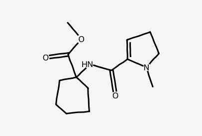 COC(=O)C1(NC(=O)C2=CCCN2C)CCCCC1